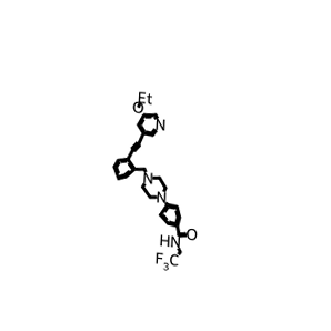 CCOc1cncc(C#Cc2ccccc2CN2CCN(c3ccc(C(=O)NCC(F)(F)F)cc3)CC2)c1